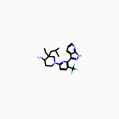 CCC1(CC(C)C)CN(c2ccc(C(F)(F)F)c(-c3n[nH]c4ncccc34)n2)CCC1N